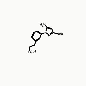 CC(C)(C)c1cc(N)n(-c2cccc(CCC(=O)O)c2)n1